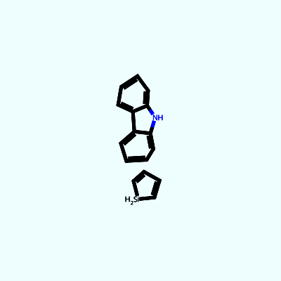 C1=C[SiH2]C=C1.c1ccc2c(c1)[nH]c1ccccc12